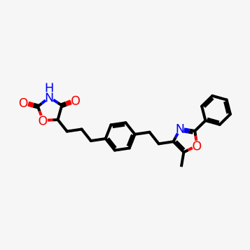 Cc1oc(-c2ccccc2)nc1CCc1ccc(CCCC2OC(=O)NC2=O)cc1